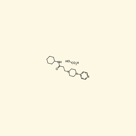 O=C(CCN1CCN(c2ccncc2)CC1)NC1CCCCC1.O=C(O)O